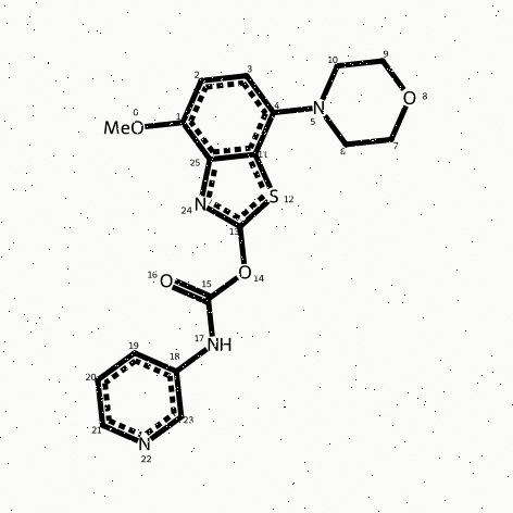 COc1ccc(N2CCOCC2)c2sc(OC(=O)Nc3cccnc3)nc12